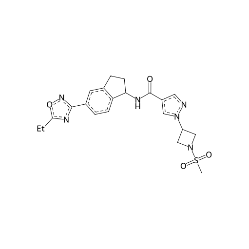 CCc1nc(-c2ccc3c(c2)CCC3NC(=O)c2cnn(C3CN(S(C)(=O)=O)C3)c2)no1